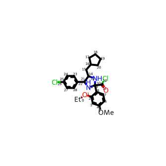 CCOc1cc(OC)ccc1C1(C(=O)Cl)NC(CC2CCCC2)C(c2ccc(Cl)cc2)N1